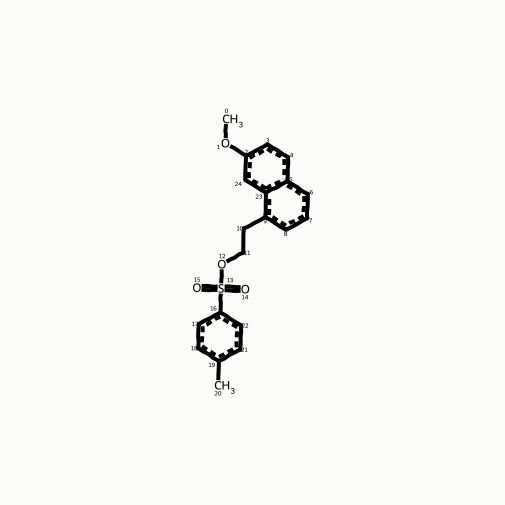 COc1ccc2cccc(CCOS(=O)(=O)c3ccc(C)cc3)c2c1